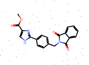 COC(=O)c1c[nH]c(-c2ccc(CN3C(=O)c4ccccc4C3=O)cc2)n1